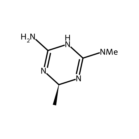 CNC1=N[C@@H](C)N=C(N)N1